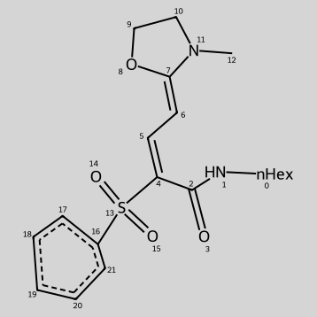 CCCCCCNC(=O)C(=CC=C1OCCN1C)S(=O)(=O)c1ccccc1